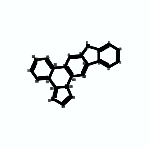 c1ccc2c(c1)oc1cc3c4cnccc4c4nccn4c3cc12